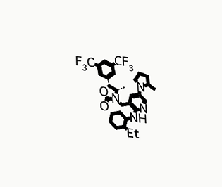 CCC1CCCCC1Nc1ncc(N2CCCC2C)cc1CN1C(=O)O[C@H](c2cc(C(F)(F)F)cc(C(F)(F)F)c2)[C@@H]1C